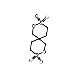 O=S1(=O)CCC2(CCS(=O)(=O)OC2)CO1